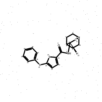 O=C(N[C@H]1CN2CCC1CC2)c1ccc(Sc2ccccc2)s1